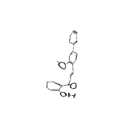 COc1cc(-c2ccccc2)ccc1C=CC(=O)c1ccccc1O